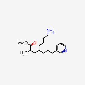 COC(=O)C(C)CC(CCCCN)CCCc1cccnc1